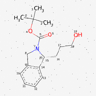 CC(C)(C)OC(=O)N1Cc2ccccc2[C@H]1CCCO